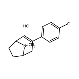 CN1C2C=C(c3ccc(Cl)cc3)CC1CC2.Cl